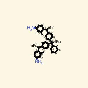 CCCCC(c1ccc(C(CCC)c2ccc(N)cc2C)cc1)(c1ccc(C(CCC)c2ccc(N)cc2C)cc1)C1CCCCC1